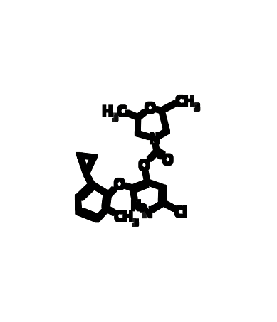 Cc1cccc(C2CC2)c1Oc1nnc(Cl)cc1OC(=O)N1CC(C)OC(C)C1